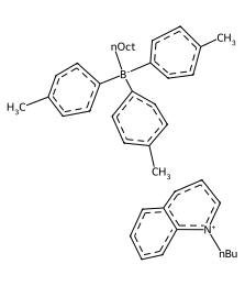 CCCCCCCC[B-](c1ccc(C)cc1)(c1ccc(C)cc1)c1ccc(C)cc1.CCCC[n+]1cccc2ccccc21